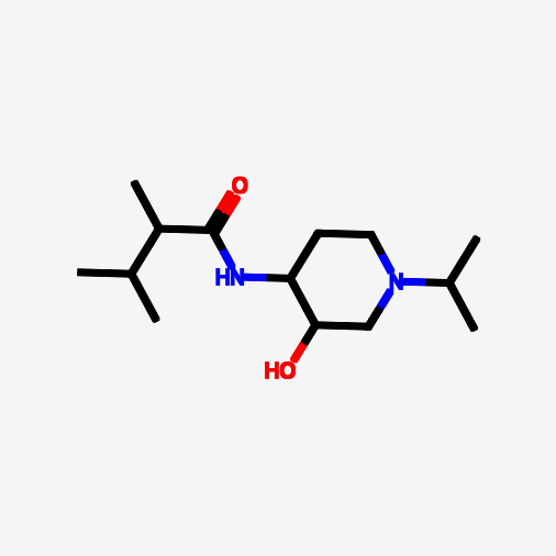 CC(C)C(C)C(=O)NC1CCN(C(C)C)CC1O